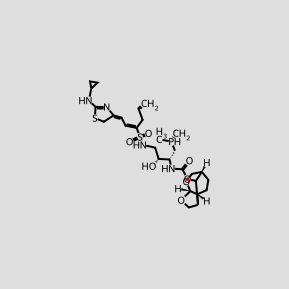 C=CC/C(=C\C=C1/CSC(NC2CC2)=N1)S(=O)(=O)NC[C@@H](O)[C@H](C[PH](=C)C)NC(=O)OC1C2CO[C@@H]3OC[C@@H]1CC[C@H]23